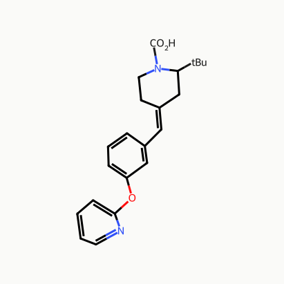 CC(C)(C)C1C/C(=C/c2cccc(Oc3ccccn3)c2)CCN1C(=O)O